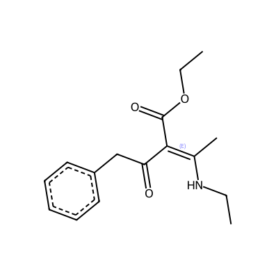 CCN/C(C)=C(\C(=O)Cc1ccccc1)C(=O)OCC